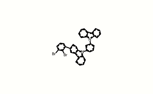 Brc1cccc(-c2ccc3c(c2)c2ccccc2n3-c2cccc(-n3c4ccccc4c4ccccc43)c2)c1Br